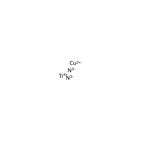 [Cu+2].[N-3].[N-3].[Ti+4]